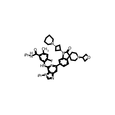 Cc1cc(F)c(Nc2nc(-c3ccc4c(c3)N([C@H]3C[C@@H](N5CCCCC5)C3)C(=O)C43CCN(C4COC4)CC3)cc3ncn(C(C)C)c23)cc1C(=O)NC(C)C